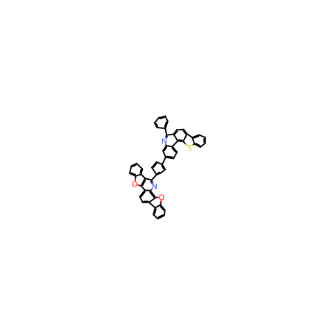 c1ccc(-c2nc3cc(-c4ccc(-c5nc6c(ccc7c8ccccc8oc76)c6oc7ccccc7c56)cc4)ccc3c3c2ccc2c4ccccc4sc23)cc1